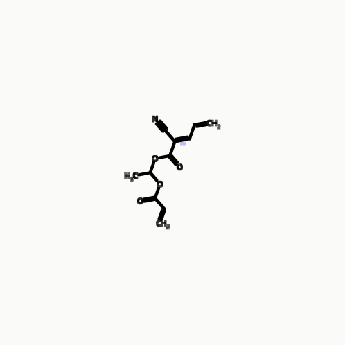 C=C/C=C(\C#N)C(=O)OC(C)OC(=O)C=C